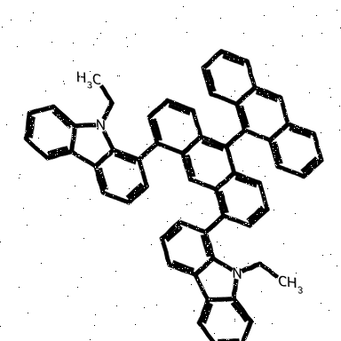 CCn1c2ccccc2c2cccc(-c3cccc4c(-c5c6ccccc6cc6ccccc56)c5cccc(-c6cccc7c8ccccc8n(CC)c67)c5cc34)c21